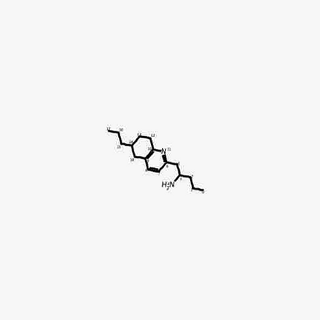 CCCC(N)Cc1ccc2c(n1)CCC(CCC)C2